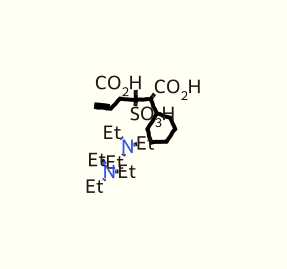 C=CCC(C(=O)O)(C(C(=O)O)C1CCCCC1)S(=O)(=O)O.CCN(CC)CC.CCN(CC)CC